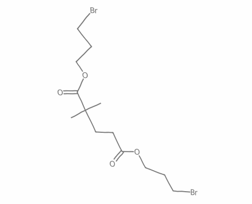 CC(C)(CCC(=O)OCCCBr)C(=O)OCCCBr